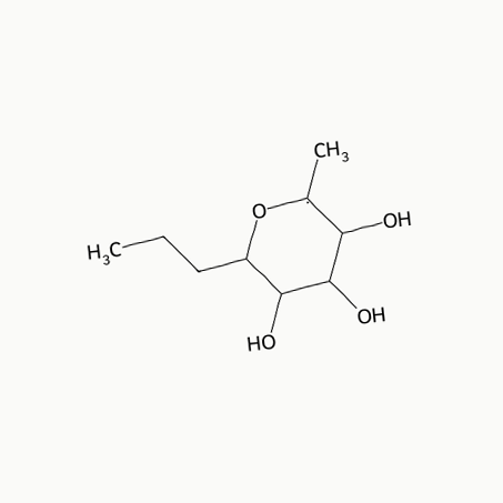 CCCC1O[C](C)C(O)C(O)C1O